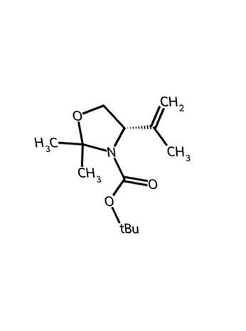 C=C(C)[C@H]1COC(C)(C)N1C(=O)OC(C)(C)C